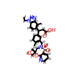 CCn1nnc2c(C)c(C(CC(=O)O)c3ccc(C)c(CN4CC5(COC5)Oc5ncccc5S4(=O)=O)c3)ccc21